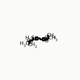 C=C(C)C(=O)OCCN(C)c1ccc(/C=C/c2ccc(S(=O)(=O)CC(C)CC)cc2)cc1